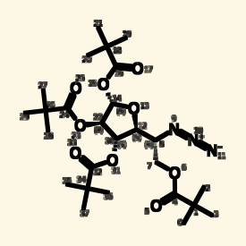 CC(C)(C)C(=O)OC[C@@H](N=[N+]=[N-])[C@@H]1O[C@@H](OC(=O)C(C)(C)C)[C@H](OC(=O)C(C)(C)C)[C@H]1OC(=O)C(C)(C)C